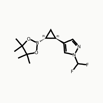 CC1(C)OB([C@@H]2C[C@H]2c2cnn(C(F)F)c2)OC1(C)C